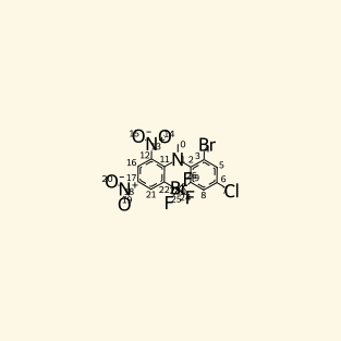 CN(c1c(Br)cc(Cl)cc1Br)c1c([N+](=O)[O-])cc([N+](=O)[O-])cc1C(F)(F)F